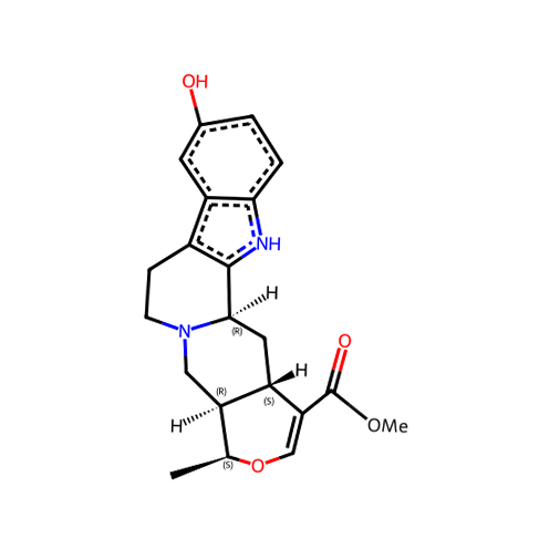 COC(=O)C1=CO[C@@H](C)[C@H]2CN3CCc4c([nH]c5ccc(O)cc45)[C@H]3C[C@H]12